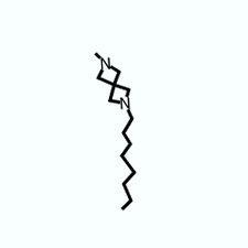 CCCCCCCCN1CC2(CN(C)C2)C1